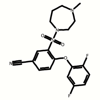 CN1CCCN(S(=O)(=O)c2cc(C#N)ccc2Oc2cc(F)ccc2F)CC1